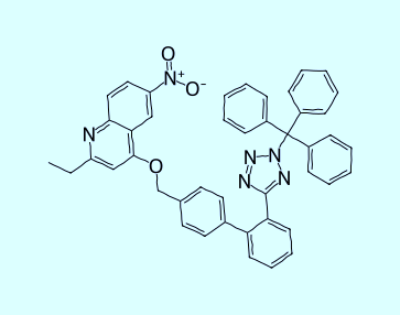 CCc1cc(OCc2ccc(-c3ccccc3-c3nnn(C(c4ccccc4)(c4ccccc4)c4ccccc4)n3)cc2)c2cc([N+](=O)[O-])ccc2n1